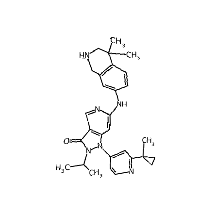 CC(C)n1c(=O)c2cnc(Nc3ccc4c(c3)CNCC4(C)C)cc2n1-c1ccnc(C2(C)CC2)c1